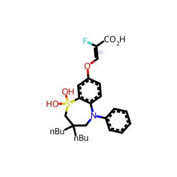 CCCCC1(CCCC)CN(c2ccccc2)c2ccc(O/C=C(\F)C(=O)O)cc2S(O)(O)C1